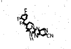 N#Cc1cc2nc(NC3CC3)c(N3CCC([C@@H](F)c4ccc(F)cc4F)CC3)nc2cn1